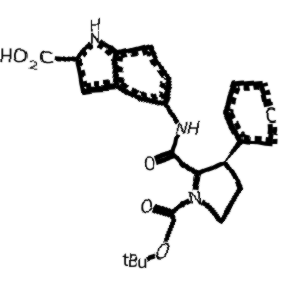 CC(C)(C)OC(=O)N1CC[C@H](c2ccccc2)C1C(=O)Nc1ccc2[nH]c(C(=O)O)cc2c1